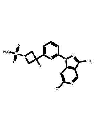 Cc1nn(-c2cccc(C3(F)CN(S(C)(=O)=O)C3)n2)c2cc(Cl)ncc12